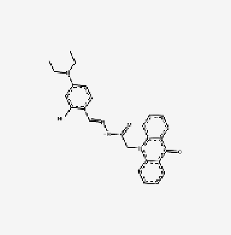 CCN(CC)c1ccc(/C=N/NC(=O)Cn2c3ccccc3c(=O)c3ccccc32)c(O)c1